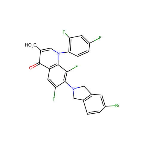 O=C(O)c1cn(-c2ccc(F)cc2F)c2c(F)c(N3Cc4ccc(Br)cc4C3)c(F)cc2c1=O